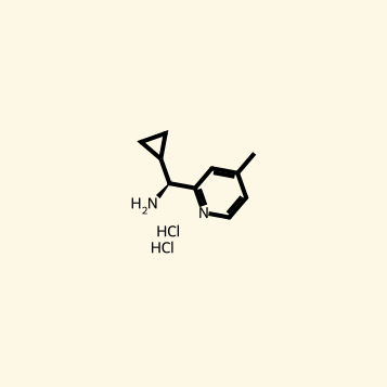 Cc1ccnc([C@@H](N)C2CC2)c1.Cl.Cl